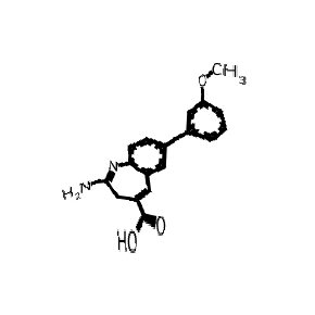 COc1cccc(-c2ccc3c(c2)C=C(C(=O)O)CC(N)=N3)c1